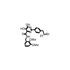 CCN(CC)Cc1ccc(-c2nc(O)c(O)c(C(=O)NCc3cccc(OC)c3OC)n2)cc1